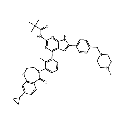 Cc1c(-c2nc(NC(=O)C(C)(C)C)nc3[nH]c(-c4ccc(CN5CCN(C)CC5)cc4)cc23)cccc1N1CCOc2cc(C3CC3)ccc2C1=O